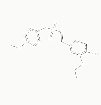 CCOc1cc(C=CS(=O)(=O)Cc2ccc(OC)cc2)ccc1O